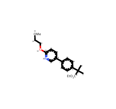 CCOC(=O)C(C)(C)c1ccc(-c2ccc(OCCOC)nc2)cc1